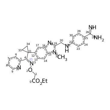 CCOC(=O)CO/N=C(\c1ccccn1)C1(c2ccc3c(c2)nc(CNc2ccc(C(=N)N)cc2)n3C)CC1